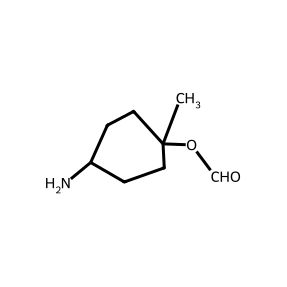 CC1(OC=O)CCC(N)CC1